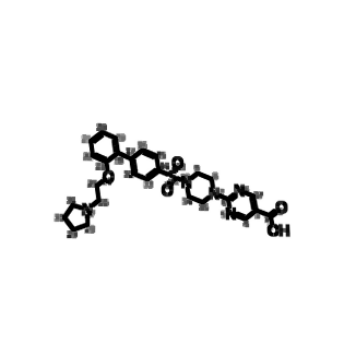 O=C(O)c1cnc(N2CCN(S(=O)(=O)c3ccc(-c4ccccc4OCCN4CCCC4)cc3)CC2)nc1